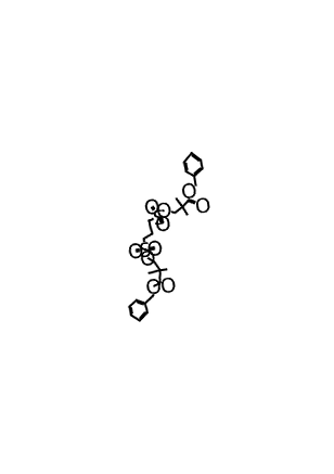 CC(C)(COS(=O)(=O)CCCS(=O)(=O)OCC(C)(C)C(=O)OCc1ccccc1)C(=O)OCc1ccccc1